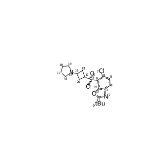 CC(C)(C)c1nc2ccc(Cl)c(S(=O)(=O)C3CC(N4CCCC4)C3)c2o1